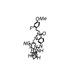 COc1ccc(CCn2cnc3cc(N=C(N[C@H]4C[C@@H]5C[C@@H]([C@H]4C)C5(C)C)N4C[C@H](C)N(C#N)[C@@H](C)C4)ccc3c2=O)c(F)c1